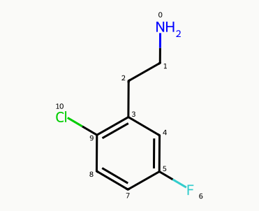 NCCc1cc(F)ccc1Cl